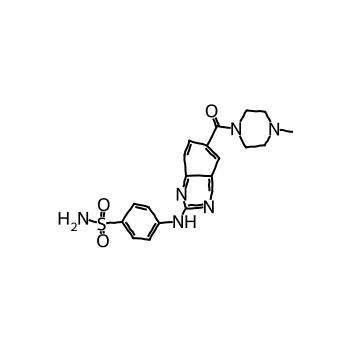 CN1CCN(C(=O)c2ccc3nc(Nc4ccc(S(N)(=O)=O)cc4)ncc3c2)CC1